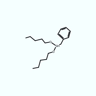 CCCCCO[SiH](Cc1ccccc1)OCCCCC